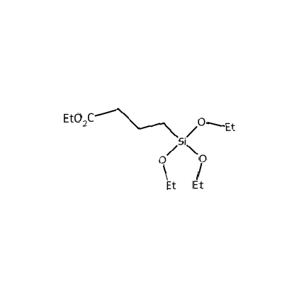 CCOC(=O)CCC[Si](OCC)(OCC)OCC